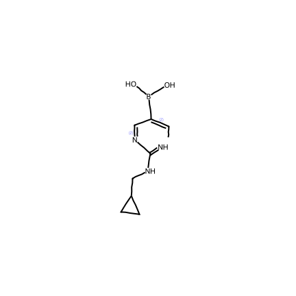 C/C=C(\C=N/C(=N)NCC1CC1)B(O)O